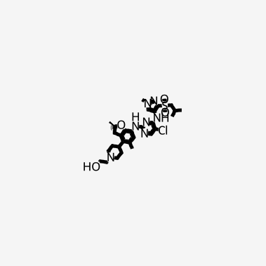 Cc1cc(Nc2ncc(Cl)c(Nc3cn(C)nc3S(=O)(=O)CC(C)C)n2)c2c(c1C1CCN(CCO)CC1)C[C@@H](C)O2